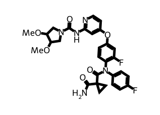 COC1CN(C(=O)Nc2cc(Oc3ccc(N(C(=O)C4(C(N)=O)CC4)c4ccc(F)cc4)c(F)c3)ccn2)CC1OC